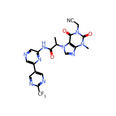 CC(C(=O)Nc1cncc(-c2cnc(C(F)(F)F)nc2)n1)n1cnc2c1c(=O)n(CC#N)c(=O)n2C